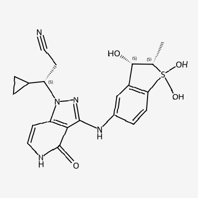 C[C@H]1[C@@H](O)c2cc(Nc3nn([C@@H](CC#N)C4CC4)c4cc[nH]c(=O)c34)ccc2S1(O)O